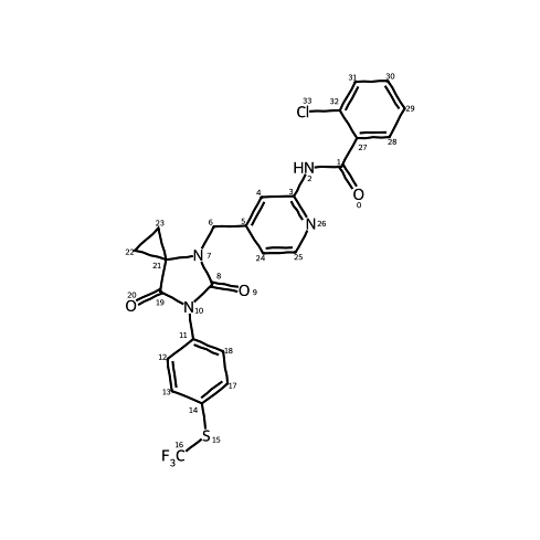 O=C(Nc1cc(CN2C(=O)N(c3ccc(SC(F)(F)F)cc3)C(=O)C23CC3)ccn1)c1ccccc1Cl